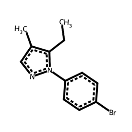 CCc1c(C)cnn1-c1ccc(Br)cc1